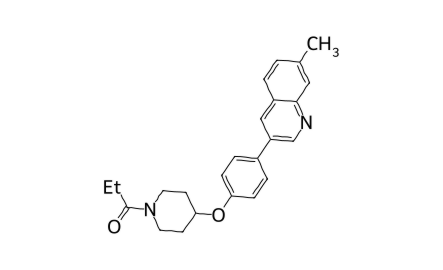 CCC(=O)N1CCC(Oc2ccc(-c3cnc4cc(C)ccc4c3)cc2)CC1